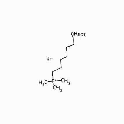 CCCCCCCCCCCCC[P+](C)(C)C.[Br-]